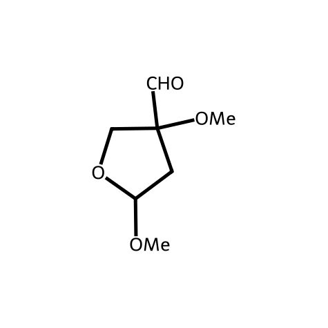 COC1CC(C=O)(OC)CO1